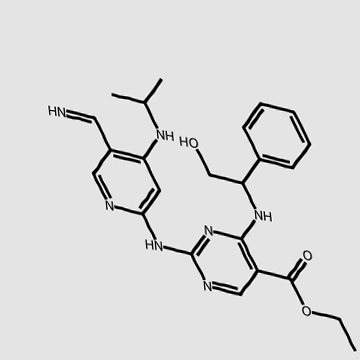 CCOC(=O)c1cnc(Nc2cc(NC(C)C)c(C=N)cn2)nc1NC(CO)c1ccccc1